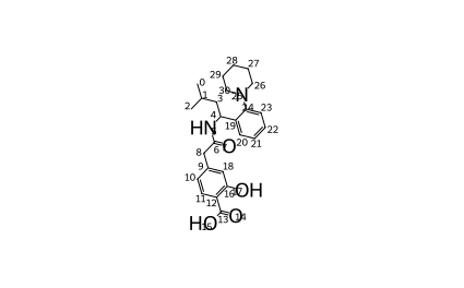 CC(C)CC(NC(=O)Cc1ccc(C(=O)O)c(O)c1)c1ccccc1N1CCCCC1